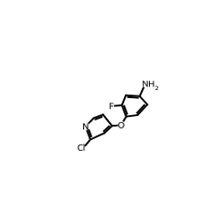 Nc1ccc(Oc2ccnc(Cl)c2)c(F)c1